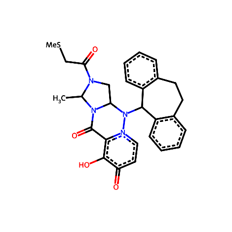 CSCC(=O)N1CC2N(C(=O)c3c(O)c(=O)ccn3N2C2c3ccccc3CCc3ccccc32)C1C